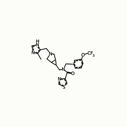 Cc1nc[nH]c1CN1CC2C(C1)C2CN(Cc1cccc(OC(F)(F)F)c1)C(=O)c1cscn1